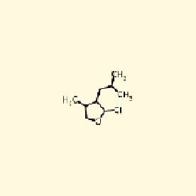 CC(C)CC1C(C)COC1Cl